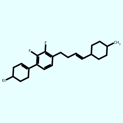 CCC1CC=C(c2ccc(CC/C=C/C3CCC(C)CC3)c(F)c2F)CC1